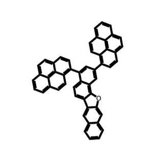 c1ccc2cc3c(cc2c1)oc1c2cc(-c4ccc5ccc6cccc7ccc4c5c67)cc(-c4ccc5ccc6cccc7ccc4c5c67)c2ccc31